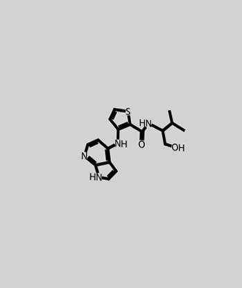 CC(C)C(CO)NC(=O)c1sccc1Nc1ccnc2[nH]ccc12